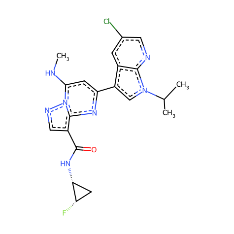 CNc1cc(-c2cn(C(C)C)c3ncc(Cl)cc23)nc2c(C(=O)N[C@@H]3C[C@@H]3F)cnn12